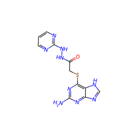 Nc1nc(SCC(=O)NNc2ncccn2)c2[nH]cnc2n1